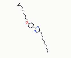 CCCCCCCCCCc1cnc(-c2ccc(OCCCCCCCC3CC3)cc2)nc1